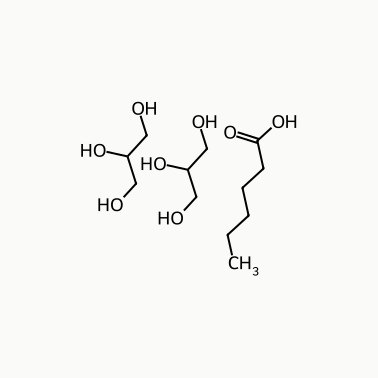 CCCCCC(=O)O.OCC(O)CO.OCC(O)CO